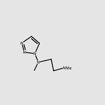 CNCCN(C)n1ccnn1